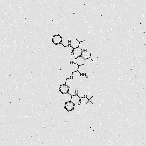 CC(C)[C@H](CC(O)[C@@H](N)COCc1cccc(C(NC(=O)OC(C)(C)C)c2ccccc2)c1)C(=O)N[C@H](C(=O)NCc1ccccc1)C(C)C